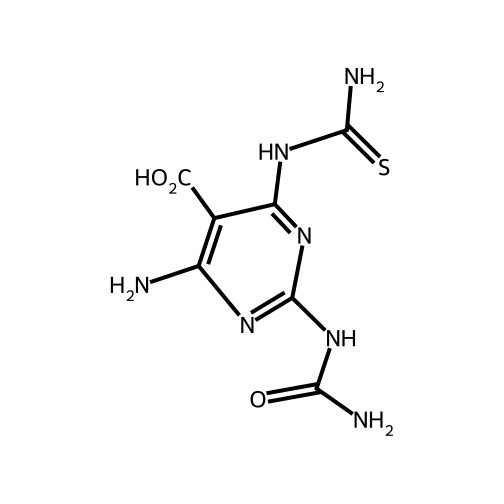 NC(=O)Nc1nc(N)c(C(=O)O)c(NC(N)=S)n1